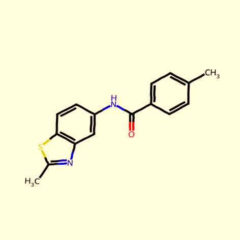 Cc1ccc(C(=O)Nc2ccc3sc(C)nc3c2)cc1